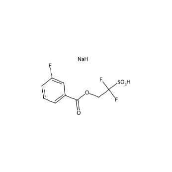 O=C(OCC(F)(F)S(=O)(=O)O)c1cccc(F)c1.[NaH]